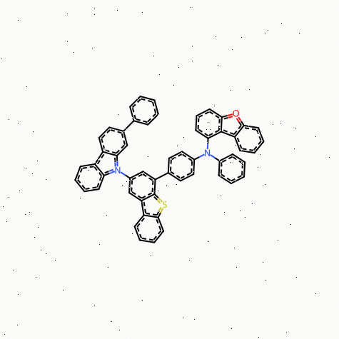 c1ccc(-c2ccc3c4ccccc4n(-c4cc(-c5ccc(N(c6ccccc6)c6cccc7oc8ccccc8c67)cc5)c5sc6ccccc6c5c4)c3c2)cc1